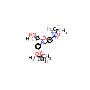 CC(C)(F)c1nc(C23CCC(CN(c4cccc(B5OC(C)(C)C(C)(C)O5)c4)C(=O)[C@H]4C[C@@](C)(O)C4)(CC2)CC3)no1